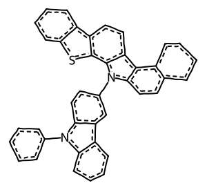 c1ccc(-n2c3ccccc3c3cc(-n4c5ccc6ccccc6c5c5ccc6c7ccccc7sc6c54)ccc32)cc1